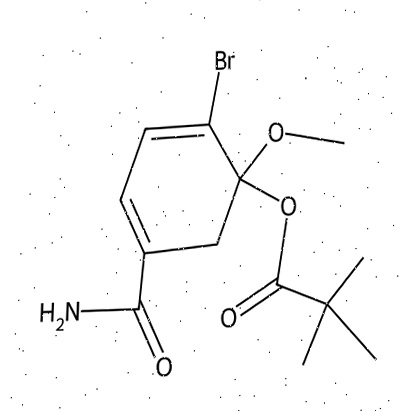 COC1(OC(=O)C(C)(C)C)CC(C(N)=O)=CC=C1Br